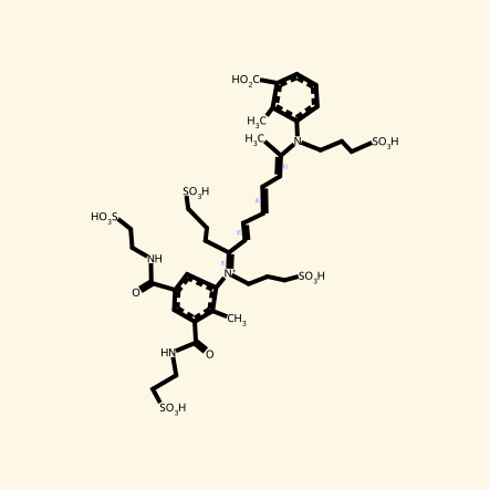 C\C(=C/C=C/C=C/C(CCCS(=O)(=O)O)=[N+](\CCCS(=O)(=O)O)c1cc(C(=O)NCCS(=O)(=O)O)cc(C(=O)NCCS(=O)(=O)O)c1C)N(CCCS(=O)(=O)O)c1cccc(C(=O)O)c1C